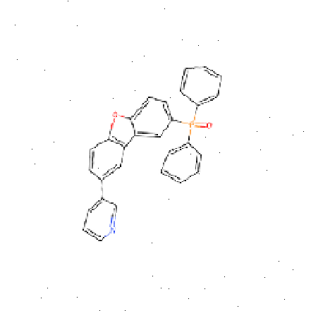 O=P(c1ccccc1)(c1ccccc1)c1ccc2oc3ccc(-c4cccnc4)cc3c2c1